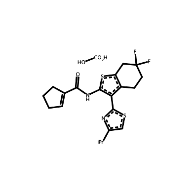 CC(C)c1csc(-c2c(NC(=O)C3=CCCC3)sc3c2CCC(F)(F)C3)n1.O=C(O)O